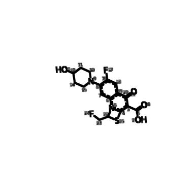 O=C(O)c1c2n(c3cc(N4CCC(O)CC4)c(F)cc3c1=O)C(CF)S2